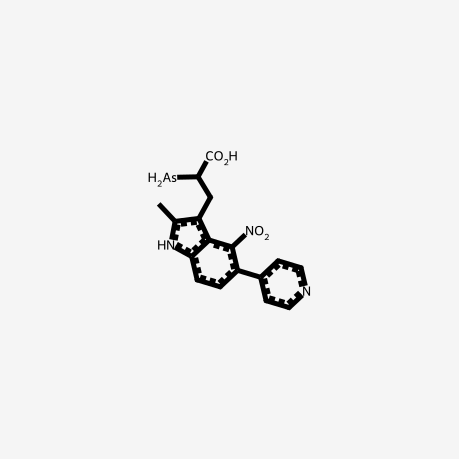 Cc1[nH]c2ccc(-c3ccncc3)c([N+](=O)[O-])c2c1CC([AsH2])C(=O)O